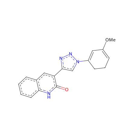 COC1=CCCC(n2cc(-c3cc4ccccc4[nH]c3=O)nn2)=C1